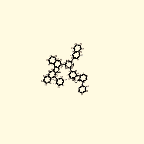 c1ccc(-c2cccc3c2oc2ccc(-c4nc(-c5ccc6ccccc6c5)nc(-c5cc6ccccc6c6c5sc5c(-c7ccccc7)c7ccccc7cc56)n4)cc23)cc1